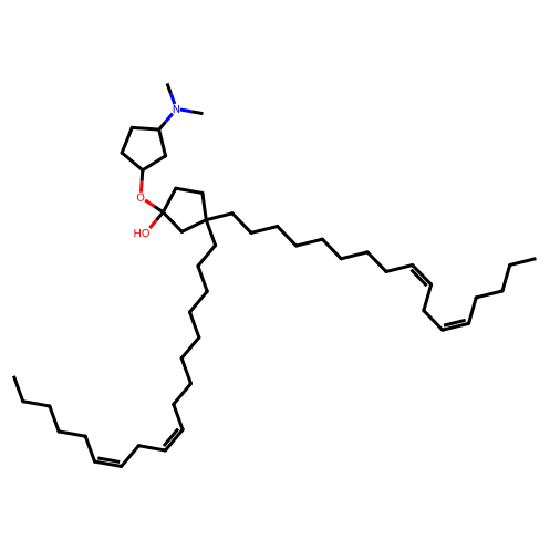 CCCC/C=C\C/C=C\CCCCCCCCC1(CCCCCCCC/C=C\C/C=C\CCCCC)CCC(O)(OC2CCC(N(C)C)C2)C1